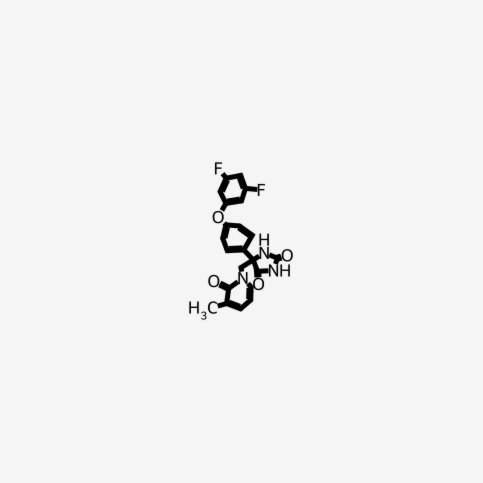 Cc1cccn(CC2(c3ccc(Oc4cc(F)cc(F)c4)cc3)NC(=O)NC2=O)c1=O